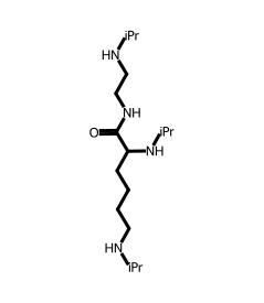 CC(C)NCCCCC(NC(C)C)C(=O)NCCNC(C)C